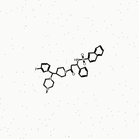 CN1CCN(C(c2cccc(F)c2)C2CCN(C(=O)CC(NS(=O)(=O)c3ccc4ccccc4c3)c3ccccc3)CC2)CC1